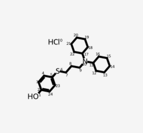 Cl.Oc1ccc(SCCCN(C2CCCCC2)C2CCCCC2)cc1